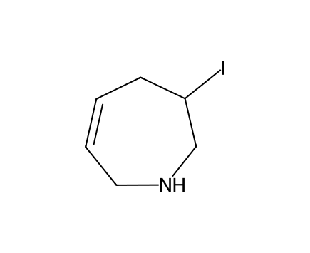 IC1CC=CCNC1